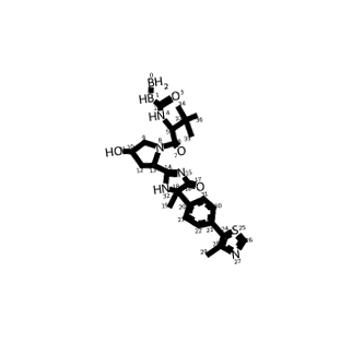 BBC(=O)NC(C(=O)N1CC(O)CC1C1=NC(=O)C(C)(c2ccc(-c3scnc3C)cc2)N1)C(C)(C)C